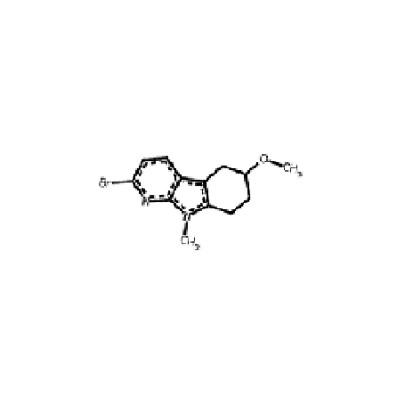 COC1CCc2c(c3ccc(Br)nc3n2C)C1